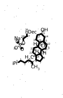 CC(C)CCCC(C)[C@H]1CC[C@H]2[C@@H]3CC=C4C[C@@H](O)CC[C@]4(C)[C@H]3CC[C@]12C.CCCCCCCCCCCCOS(=O)(=O)[O-].[Na+]